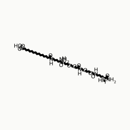 NC(=O)[C@H](CCCCNC(=O)COCCOCCNC(=O)COCCOCCNC(=O)[C@@H](N)CCCCNC(=O)CCCCCCCCCCCCCCCS(=O)(=O)O)NI